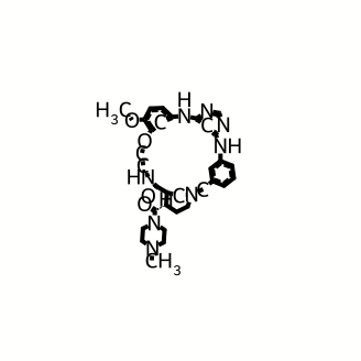 COc1ccc2cc1OCCNC(=O)[C@@H]1CN(CC[C@@H]1C(=O)N1CCN(C)CC1)Cc1cccc(c1)Nc1cc(ncn1)N2